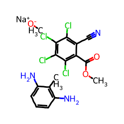 COC(=O)c1c(Cl)c(Cl)c(Cl)c(Cl)c1C#N.C[O-].Cc1c(N)cccc1N.[Na+]